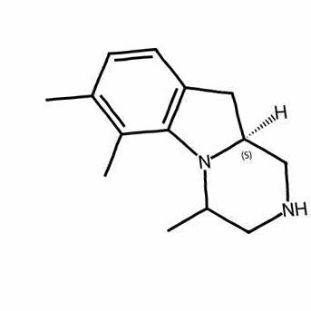 Cc1ccc2c(c1C)N1C(C)CNC[C@@H]1C2